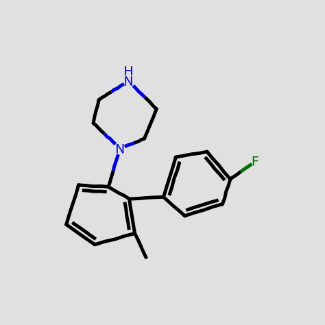 Cc1cccc(N2CCNCC2)c1-c1ccc(F)cc1